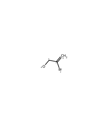 C=C(Br)C[O]